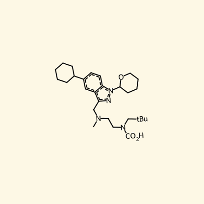 CN(CCN(CC(C)(C)C)C(=O)O)Cc1nn(C2CCCCO2)c2ccc(C3CCCCC3)cc12